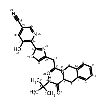 CC(C)(C)NC(=O)[C@@H]1Cc2ccccc2CN1C(=O)Cc1csc(-c2ncc(C#N)cc2O)n1